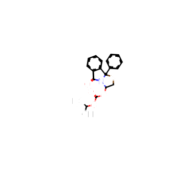 CC(C)OC(=O)OC1CSC2(c3ccccc3)c3ccccc3C(=O)N12